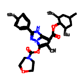 CC1CC(C(C)(C)C)C(OC(=O)c2c(C#N)c(OC(=O)N3CCOCC3)n3nc(-c4ccc(C(C)(C)C)cc4)[nH]c23)C(C(C)(C)C)C1